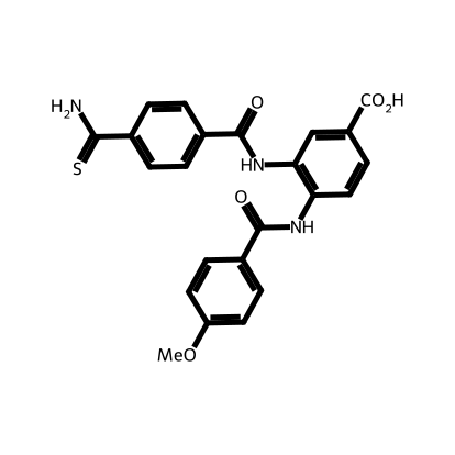 COc1ccc(C(=O)Nc2ccc(C(=O)O)cc2NC(=O)c2ccc(C(N)=S)cc2)cc1